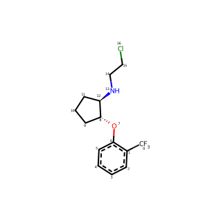 FC(F)(F)c1ccccc1O[C@@H]1CCC[C@H]1NCCCl